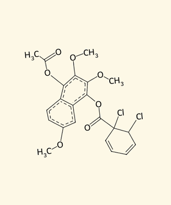 COc1ccc2c(OC(C)=O)c(OC)c(OC)c(OC(=O)C3(Cl)C=CC=CC3Cl)c2c1